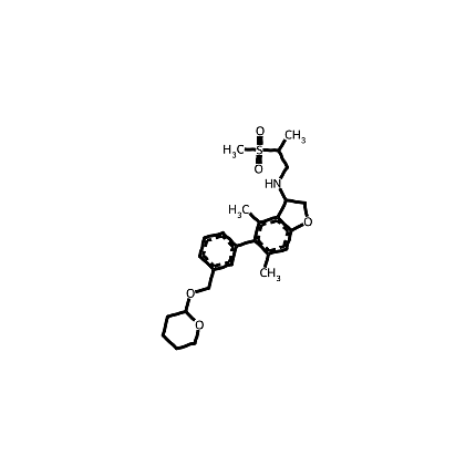 Cc1cc2c(c(C)c1-c1cccc(COC3CCCCO3)c1)C(NCC(C)S(C)(=O)=O)CO2